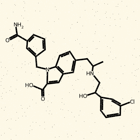 CC(Cc1ccc2c(c1)cc(C(=O)O)n2Cc1cccc(C(N)=O)c1)NCC(O)c1cccc(Cl)c1